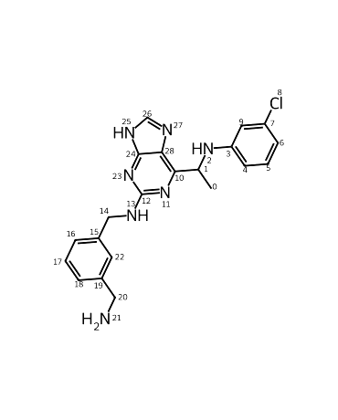 CC(Nc1cccc(Cl)c1)c1nc(NCc2cccc(CN)c2)nc2[nH]cnc12